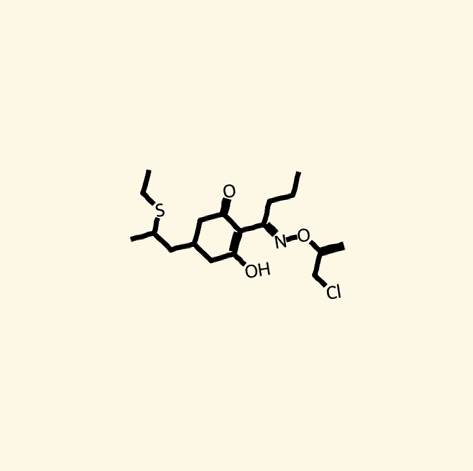 C=C(CCl)O/N=C(\CCC)C1=C(O)CC(CC(C)SCC)CC1=O